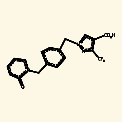 O=C(O)c1cn(Cc2ccc(Cn3ccccc3=O)cc2)nc1C(F)(F)F